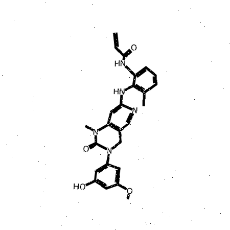 C=CC(=O)Nc1cccc(C)c1Nc1cc2c(cn1)CN(c1cc(O)cc(OC)c1)C(=O)N2C